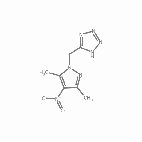 Cc1nn(Cc2nnn[nH]2)c(C)c1[N+](=O)[O-]